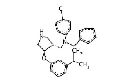 CC(C)c1cccc(O[C@H]2CNC[C@@H]2CN(Cc2ccccc2)c2ccc(Cl)cc2)c1